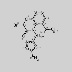 Cc1nnc(CN(C(=O)C(Cl)Br)c2ccccc2C(C)C)s1